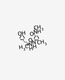 CCNC(=O)c1ccc(C)c(NC(=O)N[C@H](C)CCc2ccc(O)cc2)c1